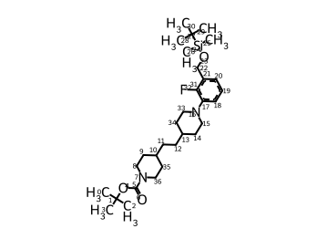 CC(C)(C)OC(=O)N1CCC(CCC2CCN(c3cccc(CO[Si](C)(C)C(C)(C)C)c3F)CC2)CC1